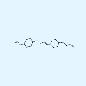 C=CCCC1CCC(/C=C/CCC2CCC(CC=C)CC2)CC1